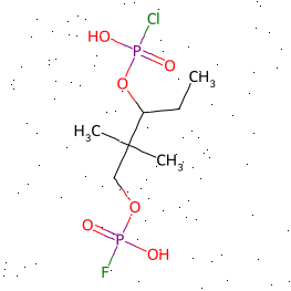 CCC(OP(=O)(O)Cl)C(C)(C)COP(=O)(O)F